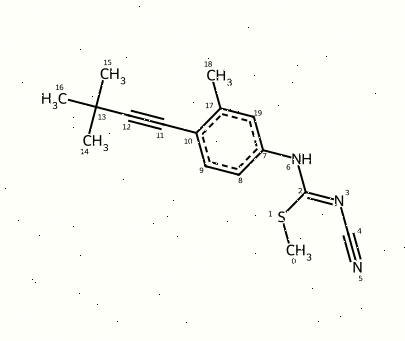 CS/C(=N\C#N)Nc1ccc(C#CC(C)(C)C)c(C)c1